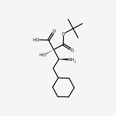 CC(C)(C)OC(=O)[C@](O)(C(=O)O)[C@@H](N)CC1CCCCC1